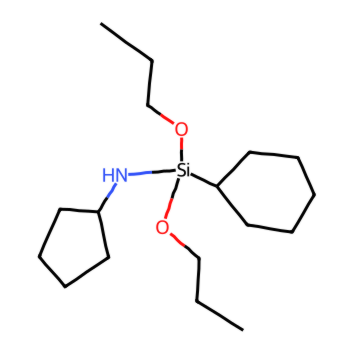 CCCO[Si](NC1CCCC1)(OCCC)C1CCCCC1